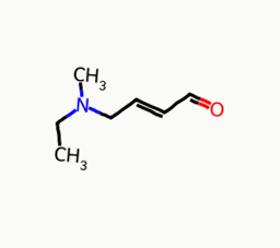 CCN(C)CC=CC=O